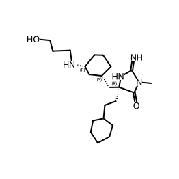 CN1C(=N)N[C@](CCC2CCCCC2)(C[C@H]2CCC[C@@H](NCCCO)C2)C1=O